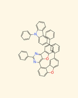 c1ccc(-c2ccc3oc4c(-c5cccc6oc7ccc(-c8cccc(-c9ccc%10c(c9)c9ccccc9n%10-c9ccccc9)c8)cc7c56)nc(-c5ccccc5)nc4c3c2)cc1